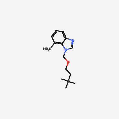 C[Si](C)(C)CCOCn1cnc2cccc(C(=O)O)c21